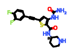 NC(=O)Nc1cc(C#Cc2ccc(F)c(F)c2)sc1C(=O)N[C@H]1CCCNC1